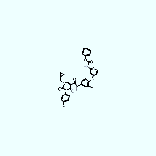 O=C(Nc1cc(Oc2ccc(NC(=O)c3cn(CC4CC4)c(=O)n(-c4ccc(F)cc4)c3=O)cc2F)ccn1)Oc1ccccc1